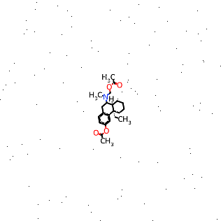 CC[C@@]12CCCC[C@@H]1C(N(C)COC(C)=O)Cc1ccc(OC(C)=O)cc12